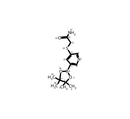 CC1(C)OB(c2cncc(SCC(N)=O)c2)OC1(C)C